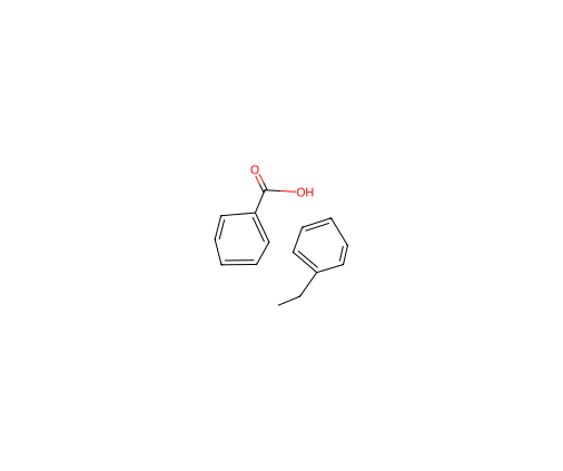 CCc1ccccc1.O=C(O)c1ccccc1